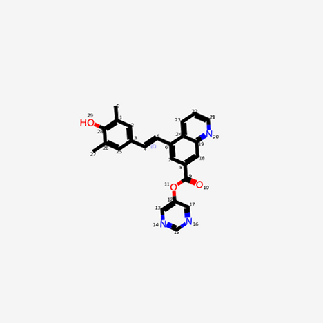 Cc1cc(/C=C/c2cc(C(=O)Oc3cncnc3)cc3ncccc23)cc(C)c1O